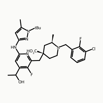 Cc1cc(Nc2cc(C(C)O)c(F)c(C[C@@]3(C(=O)O)CCN(Cc4cccc(Cl)c4F)[C@H](C)C3)n2)nn1C(C)(C)C